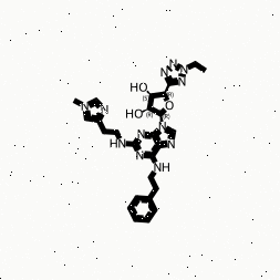 CCn1nnc([C@H]2O[C@@H](n3cnc4c(NCCc5ccccc5)nc(NCCc5cn(C)cn5)nc43)[C@H](O)[C@@H]2O)n1